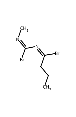 CCC/C(Br)=N\C(Br)=N/C